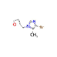 Cc1c(Br)ncn1CC1CCO1